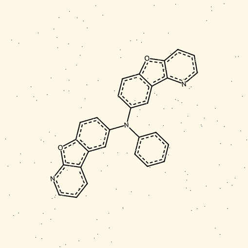 c1ccc(N(c2ccc3oc4ncccc4c3c2)c2ccc3oc4cccnc4c3c2)cc1